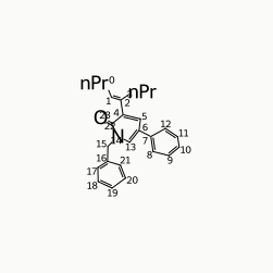 CCCC=C(CCC)c1cc(-c2ccccc2)cn(Cc2ccccc2)c1=O